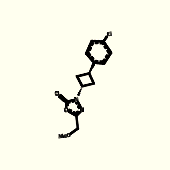 COCc1nn([C@H]2C[C@H](c3ccc(Cl)cc3)C2)c(=O)o1